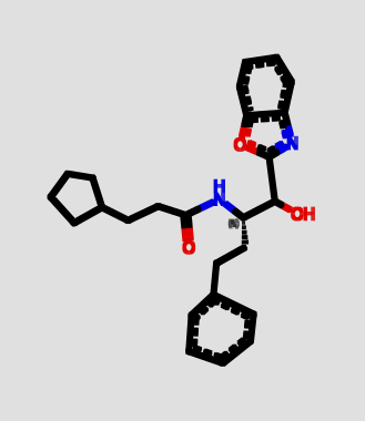 O=C(CCC1CCCC1)N[C@@H](CCc1ccccc1)C(O)c1nc2ccccc2o1